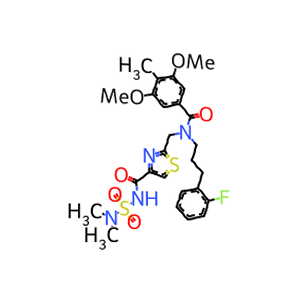 COc1cc(C(=O)N(CCCc2ccccc2F)Cc2nc(C(=O)NS(=O)(=O)N(C)C)cs2)cc(OC)c1C